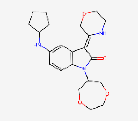 O=C1/C(=C2/COCCN2)c2cc(NC3CCCC3)ccc2N1C1COCCOC1